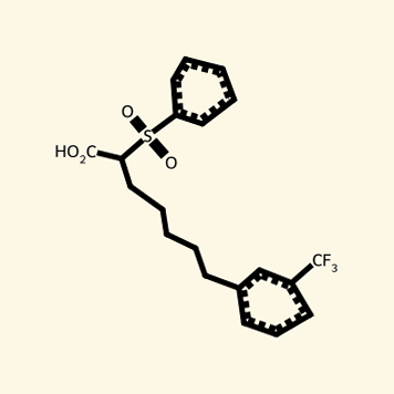 O=C(O)C(CCCCCc1cccc(C(F)(F)F)c1)S(=O)(=O)c1ccccc1